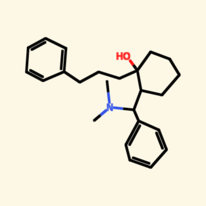 CN(C)C(c1ccccc1)C1CCCCC1(O)CCCc1ccccc1